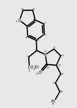 CCOC(=O)CC(c1ccc2c(c1)OCC2)N1CCC(CCCC(C)=O)C1=O